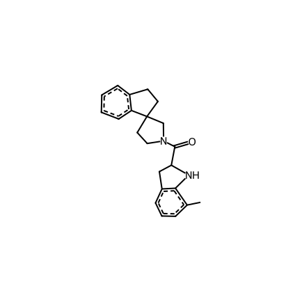 Cc1cccc2c1NC(C(=O)N1CCC3(CCc4ccccc43)C1)C2